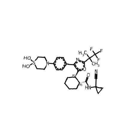 CC(C)(c1nc(-c2ccc(N3CCS(O)(O)CC3)cc2)c([C@@H]2CCCC[C@H]2C(=O)NC2(C#N)CC2)o1)C(F)(F)F